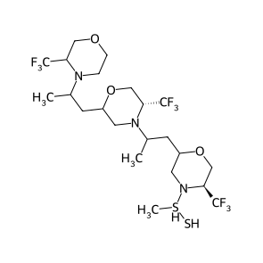 CC(CC1CN(C(C)CC2CN([SH](C)S)[C@H](C(F)(F)F)CO2)[C@@H](C(F)(F)F)CO1)N1CCOCC1C(F)(F)F